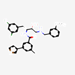 COc1cccc(CNC[C@H](O)[C@H](Cc2cc(F)cc(F)c2)NC(=O)c2cc(C)cc(-c3ccsc3)c2)c1